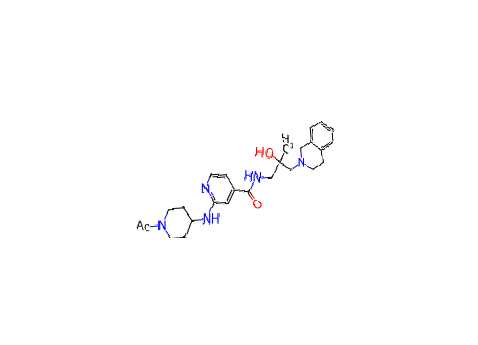 CC(=O)N1CCC(Nc2cc(C(=O)NCC(C)(O)CN3CCc4ccccc4C3)ccn2)CC1